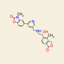 Cc1c([C@@H](O)CNCc2cncc(-c3ccc4oc(=O)n(C)c4c3)c2)ccc2c1COC2=O